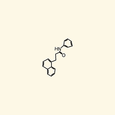 O=C(CCc1cccc2ccccc12)Nc1ccccc1